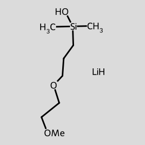 COCCOCCC[Si](C)(C)O.[LiH]